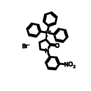 O=C1[C@H]([P+](c2ccccc2)(c2ccccc2)c2ccccc2)CCN1c1cccc([N+](=O)[O-])c1.[Br-]